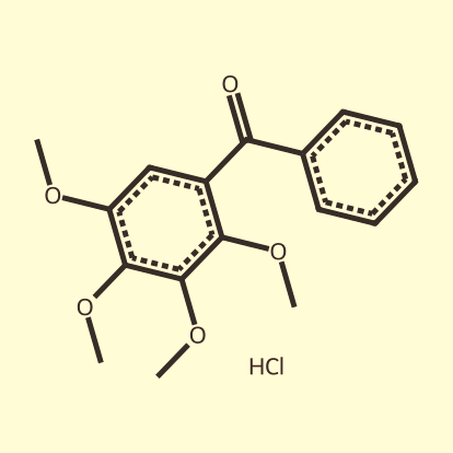 COc1cc(C(=O)c2ccccc2)c(OC)c(OC)c1OC.Cl